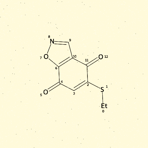 CCSC1=CC(=O)c2oncc2C1=O